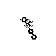 CN1CC[C@@H]2NC(=O)C(C(=O)Nc3ccc(N4CCCCC4)cc3)=C(O)[C@@]2(C)C1